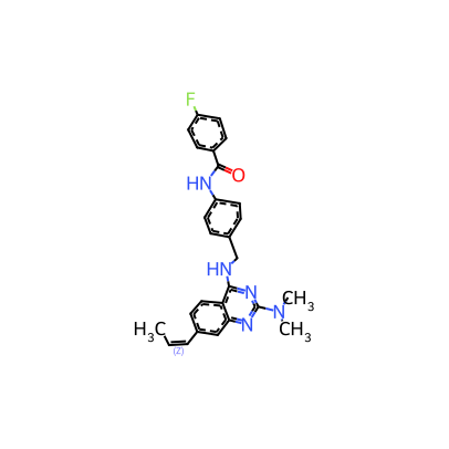 C/C=C\c1ccc2c(NCc3ccc(NC(=O)c4ccc(F)cc4)cc3)nc(N(C)C)nc2c1